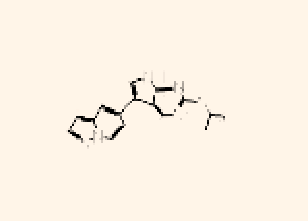 CC(Nc1ncc2c(-c3ccn4nccc4c3)c[nH]c2n1)C(F)(F)F